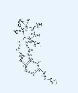 C/C=C/c1ccc2sc3ccc([C@]4(C)CS(=O)(=O)C5(CC5)C(=N)N4)cc3c2c1